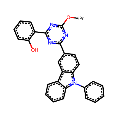 CC(C)Oc1nc(-c2ccc3c(c2)c2ccccc2n3-c2ccccc2)nc(-c2ccccc2O)n1